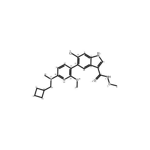 CONC(=O)c1c[nH]c2cc(Cl)c(-c3ccc(N(C)CC4CCC4)nc3OC)cc12